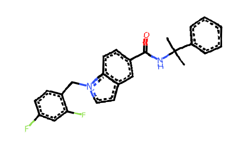 CC(C)(NC(=O)c1ccc2c(ccn2Cc2ccc(F)cc2F)c1)c1ccccc1